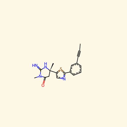 CC#Cc1cccc(-c2ncc([C@]3(C)CC(=O)N(C)C(=N)N3)s2)c1